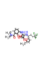 Cc1ccc(C(CCC(F)(F)F)Nc2c(Nc3cccc(C(=O)N(C)C)c3O)c(=O)c2=O)o1